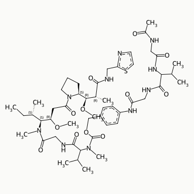 CC[C@H](C)[C@@H]([C@@H](CC(=O)N1CCC[C@H]1[C@H](OC)[C@@H](C)C(=O)NCc1nccs1)OC)N(C)C(=O)CNC(=O)C(C(C)C)N(C)C(=O)OCc1ccc(NC(=O)CNC(=O)C(NC(=O)CNC(C)=O)C(C)C)cc1